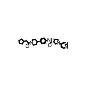 O=C(Nc1ccc(C2CCN(C(=O)CC3CCCC3)CC2)cc1)[C@H]1CCN(c2ccnnc2)C1